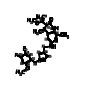 C=C(OC)[C@H]1C(=O)Nc2c(cc(NCc3cnn(Cc4cc(F)c(F)cc4OC)c3)nc2C)N1C